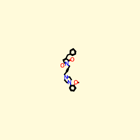 COc1ccccc1N1CCN(CC#CCN2C(=O)C=C(Cc3ccccc3)C2=O)CC1